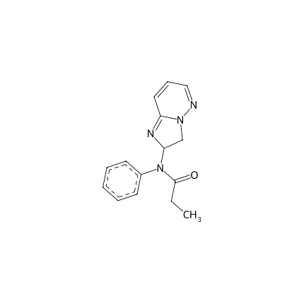 CCC(=O)N(c1ccccc1)C1CN2N=CC=CC2=N1